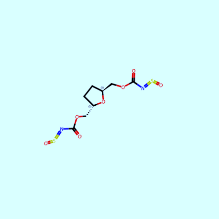 O=S=NC(=O)OC[C@@H]1CC[C@@H](COC(=O)N=S=O)O1